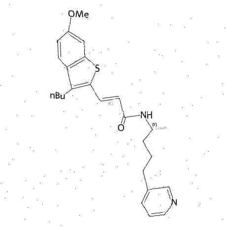 CCCCc1c(/C=C/C(=O)N[C@H](C)CCCc2cccnc2)sc2cc(OC)ccc12